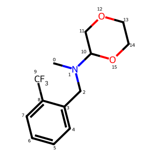 CN(Cc1ccccc1C(F)(F)F)C1COCCO1